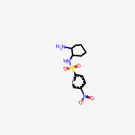 NC1CCCCC1NS(=O)(=O)c1ccc([N+](=O)[O-])cc1